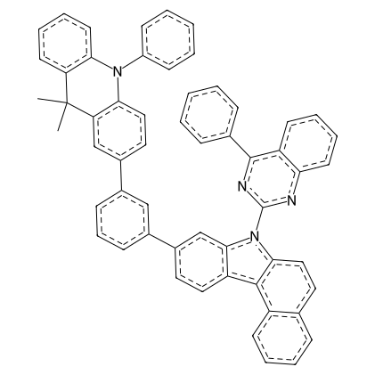 CC1(C)c2ccccc2N(c2ccccc2)c2ccc(-c3cccc(-c4ccc5c6c7ccccc7ccc6n(-c6nc(-c7ccccc7)c7ccccc7n6)c5c4)c3)cc21